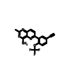 C#Cc1ccc(OC(F)(F)F)c(-c2ccc3nc(C)nc(N)c3n2)c1